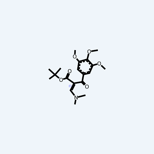 COc1cc(C(=O)/C(=C\N(C)C)C(=O)OC(C)(C)C)cc(OC)c1OC